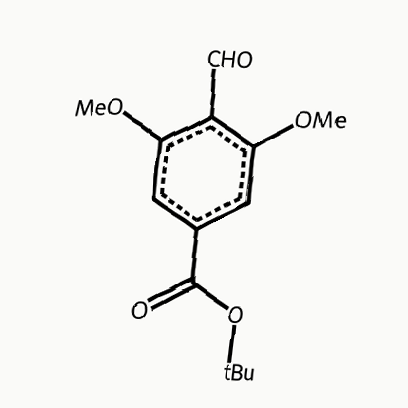 COc1cc(C(=O)OC(C)(C)C)cc(OC)c1C=O